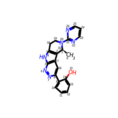 C[C@H]1c2c([nH]c3nnc(-c4ccccc4O)cc23)CCN1c1ncccn1